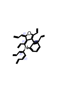 C=C/C=C\C(=C/C=C)N(/C(C=C)=c1\c(/C=C\C=C)c(C=C)o\c1=C\C=C)c1ccccc1